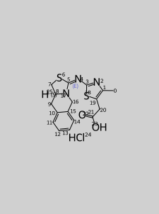 Cc1nc(/N=C2/SC[C@@H]3Cc4ccccc4CN23)sc1CC(=O)O.Cl